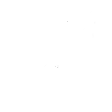 O=C(Nc1cc(F)c([C@@H]2[C@H]3COC(=O)[C@H]32)c(F)c1)OCc1ccccc1